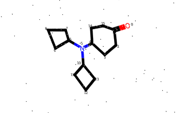 O=C1CCC(N(C2CCC2)C2CCC2)CC1